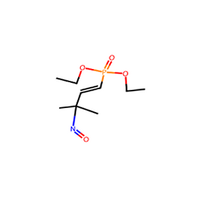 CCOP(=O)(C=CC(C)(C)N=O)OCC